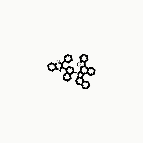 c1ccc(-c2nc3ccccc3nc2-c2ccc(-n3c4ccc5ccccc5c4c4c5ccccc5c5c6ccccc6oc5c43)c3ccccc23)cc1